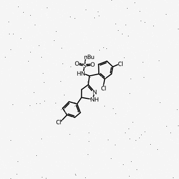 CCCCS(=O)(=O)NC(C1=NNC(c2ccc(Cl)cc2)C1)c1ccc(Cl)cc1Cl